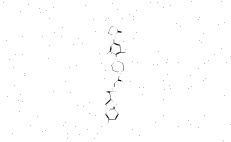 O=C(NCC(=O)N1CCN(c2c(F)cc(N3C[C@H](CO)OC3=O)cc2F)CC1)c1cn2cc(F)ccc2n1